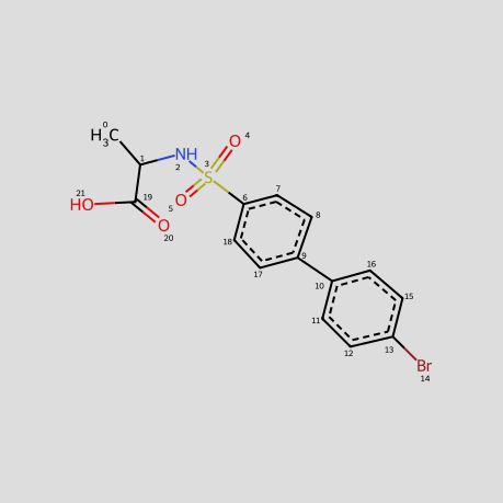 CC(NS(=O)(=O)c1ccc(-c2ccc(Br)cc2)cc1)C(=O)O